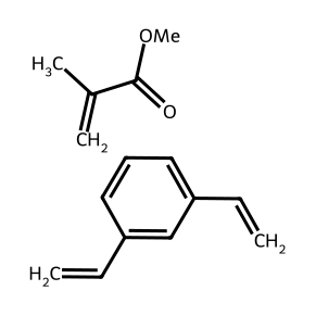 C=C(C)C(=O)OC.C=Cc1cccc(C=C)c1